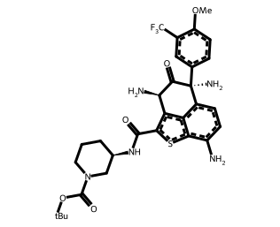 COc1ccc([C@]2(N)C(=O)[C@H](N)c3c(C(=O)N[C@@H]4CCCN(C(=O)OC(C)(C)C)C4)sc4c(N)ccc2c34)cc1C(F)(F)F